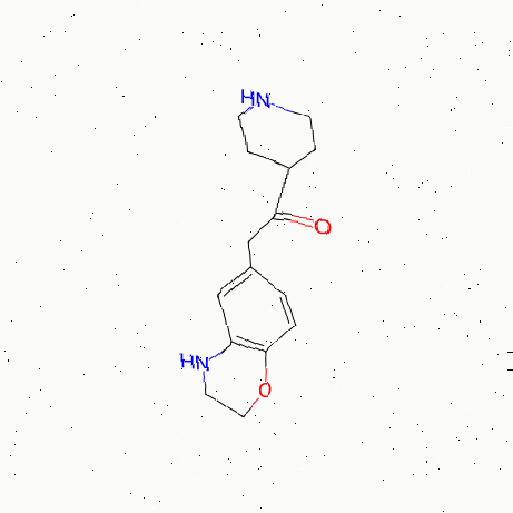 O=C(Cc1ccc2c(c1)NCCO2)C1CCNCC1